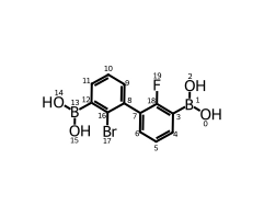 OB(O)c1cccc(-c2cccc(B(O)O)c2Br)c1F